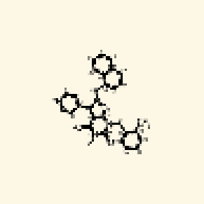 Cn1c(=O)c2c(-c3ccncc3)n(Cc3cccc4ccccc34)nc2n(Cc2ccccc2C(F)(F)F)c1=O